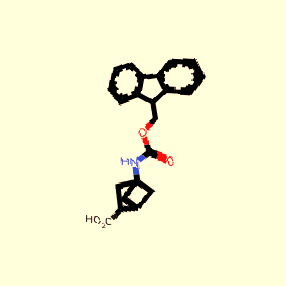 O=C(NC12CC(C1)C(C(=O)O)C2)OCC1c2ccccc2-c2ccccc21